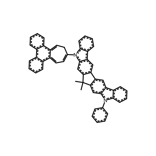 CC1(C)c2cc3c(cc2-c2cc4c5ccccc5n(-c5ccccc5)c4cc21)c1ccccc1n3C1=CC=c2c(c3ccccc3c3ccccc23)=CC1